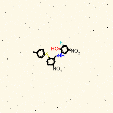 Cc1ccc(Sc2ccc([N+](=O)[O-])cc2CNc2cc([N+](=O)[O-])cc(F)c2O)cc1